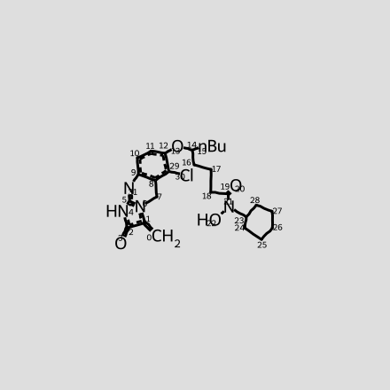 C=c1c(=O)[nH]c2n1Cc1c(ccc(OC(CCCC)CCCC(=O)N(O)C3CCCCC3)c1Cl)N=2